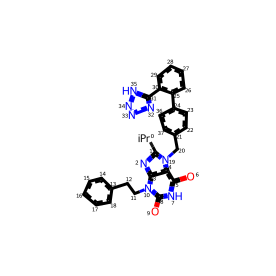 CC(C)c1nc2c(c(=O)[nH]c(=O)n2CCc2ccccc2)n1Cc1ccc(-c2ccccc2-c2nnn[nH]2)cc1